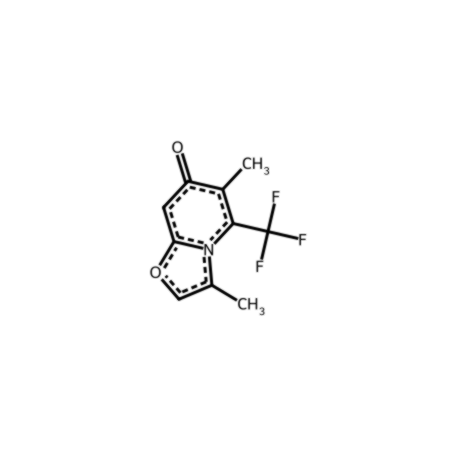 Cc1c(C(F)(F)F)n2c(C)coc2cc1=O